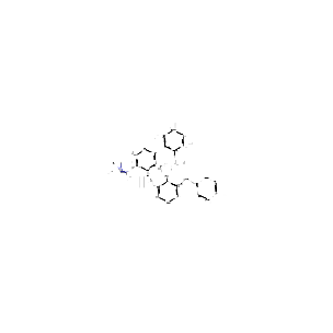 C/N=C/c1ccccc1Pc1cccc(CC2C=CC=CC2)c1OCc1ccccc1